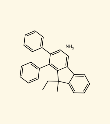 CCC1(C)c2ccccc2-c2ccc(-c3ccccc3)c(-c3ccccc3)c21.N